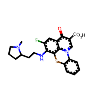 CN1CCCC1CCNc1c(F)cc2c(=O)c(C(=O)O)cn3c2c1Sc1ccccc1-3